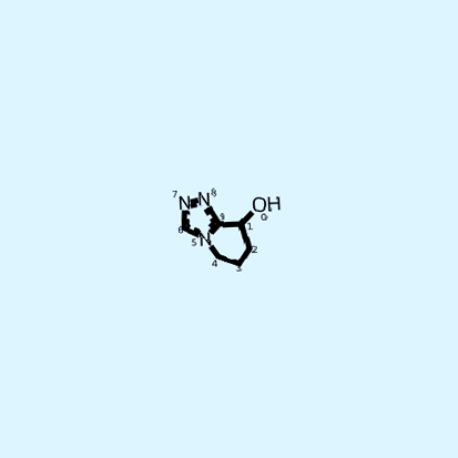 OC1CCCn2cnnc21